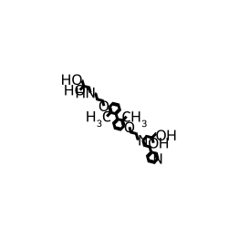 Cc1c(OCCCNCC(O)CO)cccc1-c1cccc(OCCCN(CCc2cccnc2)CC(O)CO)c1C